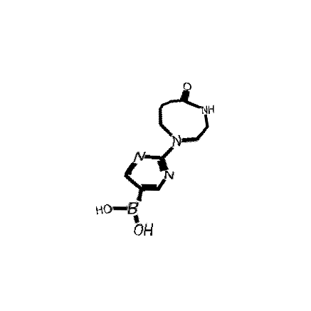 O=C1CCN(c2ncc(B(O)O)cn2)CCN1